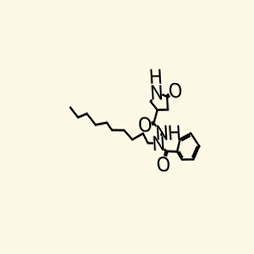 CCCCCCCCCCN(NC(=O)C1CNC(=O)C1)C(=O)c1ccccc1